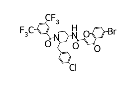 O=C(NC1CCN(C(=O)c2cc(C(F)(F)F)cc(C(F)(F)F)c2)C(Cc2ccc(Cl)cc2)C1)c1cc(=O)c2cc(Br)ccc2o1